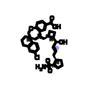 NS(=O)(=O)[C@@H]1CCC[C@H]1C/C=C/C(O)[C@@H]1CC[C@H]1CN1C[C@@]2(CCCc3cc(Cl)ccc32)COc2ccc(C(=O)O)cc21